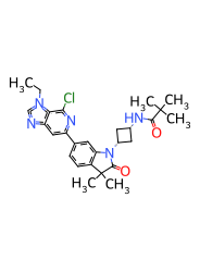 CCn1cnc2cc(-c3ccc4c(c3)N([C@H]3C[C@@H](NC(=O)C(C)(C)C)C3)C(=O)C4(C)C)nc(Cl)c21